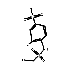 CS(=O)(=O)c1ccc(NS(=O)(=O)CCl)c(Cl)c1